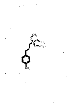 CO[Si](CCCc1ccc(C)cc1)(OC)OC